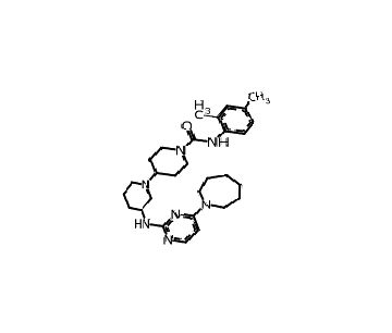 Cc1ccc(NC(=O)N2CCC(N3CCCC(Nc4nccc(N5CCCCCC5)n4)C3)CC2)c(C)c1